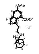 COc1cc(C(=O)[O-])c2c(CCN[C@@H]3CN4CCC3CC4)n[nH]c2c1.[Li+]